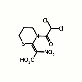 O=C(O)C(=C1SCCCN1C(=O)C(Cl)Cl)[N+](=O)[O-]